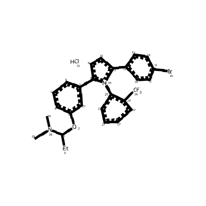 CCC(Oc1cccc(-c2ccc(-c3ccc(Br)cc3)n2-c2ccccc2C(F)(F)F)c1)N(C)C.Cl